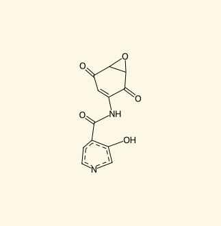 O=C(NC1=CC(=O)C2OC2C1=O)c1ccncc1O